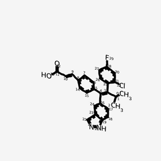 CC(C)/C(=C(/c1ccc(/C=C/C(=O)O)cc1)c1ccc2[nH]ncc2c1)c1ccc(F)cc1Cl